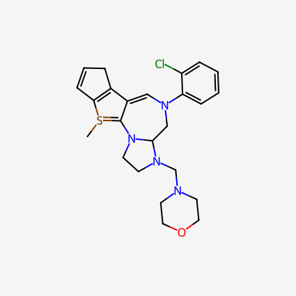 CS1=C2C(=CN(c3ccccc3Cl)CC3N(CN4CCOCC4)CCN23)C2=C1C=CC2